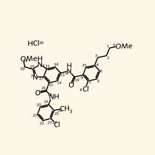 COCCCc1ccc(Cl)c(C(=O)Nc2cc(C(=O)Nc3cccc(Cl)c3C)c3nc(COC)[nH]c3c2)c1.Cl